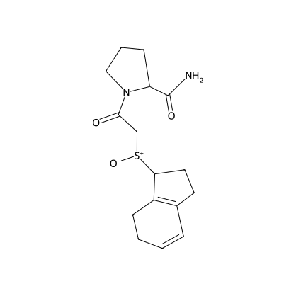 NC(=O)C1CCCN1C(=O)C[S+]([O-])C1CCC2=C1CCC=C2